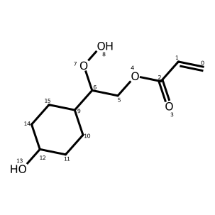 C=CC(=O)OCC(OO)C1CCC(O)CC1